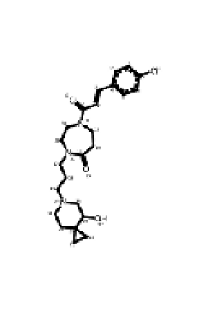 O=C(/C=C/c1ccc(Cl)cc1)N1CCC(=O)N(CCCN2CCC3(CC3)C(O)C2)CC1